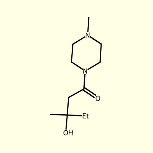 CCC(C)(O)CC(=O)N1CCN(C)CC1